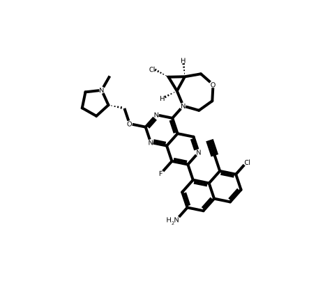 C#Cc1c(Cl)ccc2cc(N)cc(-c3ncc4c(N5CCOC[C@@H]6[C@@H](Cl)[C@@H]65)nc(OC[C@@H]5CCCN5C)nc4c3F)c12